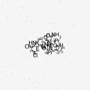 CC(C)[C@H](NC(=O)[C@]1(NC(=O)[C@H](C(C)C)N(Cc2ccccc2)C(=O)O)CCc2[nH]c3c(Cl)cc(Cl)cc3c2C1Cl)C(N)=O